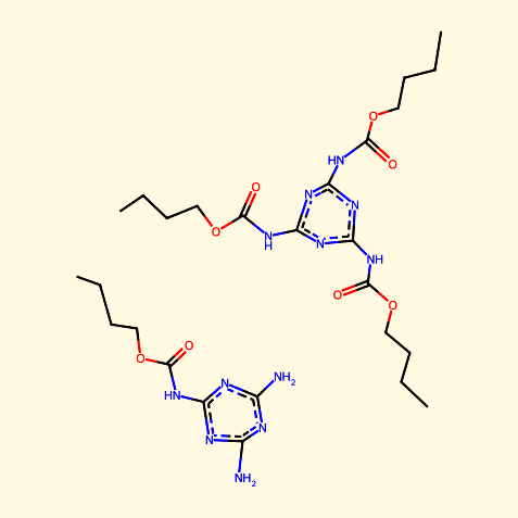 CCCCOC(=O)Nc1nc(N)nc(N)n1.CCCCOC(=O)Nc1nc(NC(=O)OCCCC)nc(NC(=O)OCCCC)n1